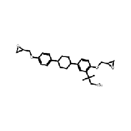 CC(C)(C)CC(C)(C)c1cc(C2CCC(c3ccc(OCC4CO4)cc3)CC2)ccc1OCC1CO1